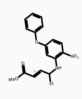 CCC(/C=C/C(=O)OC)Nc1cc(Oc2ccccc2)ccc1[N+](=O)[O-]